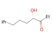 CCC(=O)[C@@H](O)CCCC(C)C